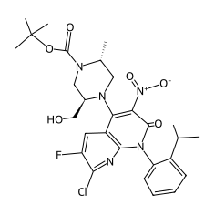 CC(C)c1ccccc1-n1c(=O)c([N+](=O)[O-])c(N2C[C@@H](C)N(C(=O)OC(C)(C)C)C[C@@H]2CO)c2cc(F)c(Cl)nc21